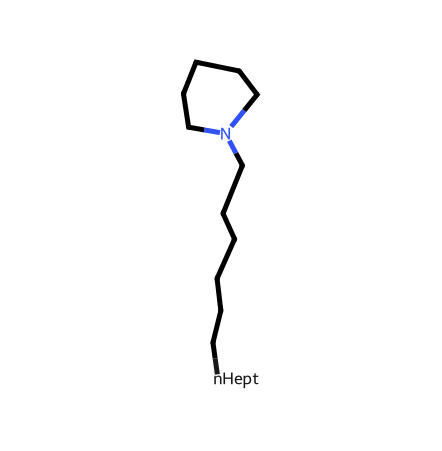 CCCCCCCCCCCCCN1CCCCC1